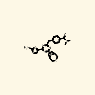 CN(C)C(=O)c1ccc(Cc2nc(-c3cnc(N)s3)nc(N3C4CCC3COC4)n2)cc1